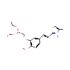 CCOC(COc1cc(C=Cc2scc(C)[n+]2C)ccc1OC)OCC